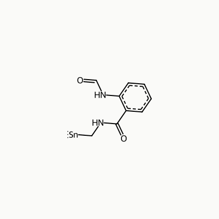 O=CNc1ccccc1C(=O)N[CH2][Sn]